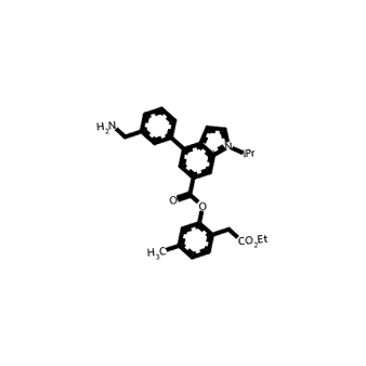 CCOC(=O)Cc1ccc(C)cc1OC(=O)c1cc(-c2cccc(CN)c2)c2ccn(C(C)C)c2c1